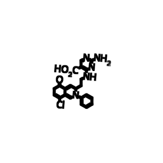 Nc1ncc(C(=O)O)c(NCCC2C=C3C(=O)CC=C(Cl)C3=CN2c2ccccc2)n1